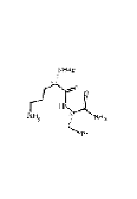 CC(=O)N[C@@H](CCCN)C(=O)N[C@@H](CC(C)C)C(N)=O